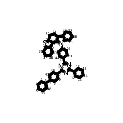 c1ccc(-c2ccc(-c3nc(-c4ccccc4)nc(-c4ccc(-n5c6ccccc6c6ccc7sc8ccccc8c7c65)cc4)n3)cc2)cc1